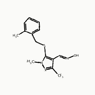 Cc1ccccc1CSc1c(/C=N/O)c(C(F)(F)F)nn1C